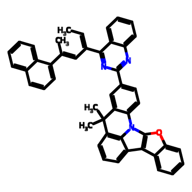 C/C=C(\C=C(/C)c1cccc2ccccc12)c1nc(-c2ccc3c(c2)C(C)(C)c2cccc4c5c6ccccc6oc5n-3c24)nc2ccccc12